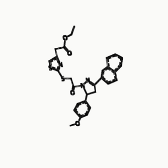 CCOC(=O)Cc1csc(SCC(=O)N2N=C(c3ccc4ccccc4c3)CC2c2ccc(OC)cc2)n1